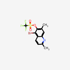 Cc1ccc2c(Br)c(OS(=O)(=O)C(F)(F)F)c(C)cc2n1